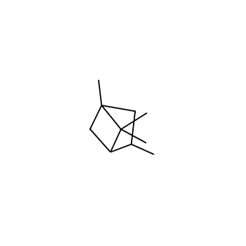 CC1CC2(C)CC1C2(C)C